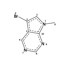 Cn1cc(Br)c2cncnc21